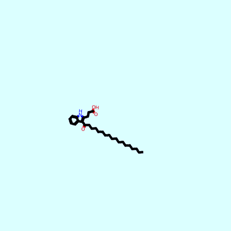 CCCCCCCCCCCCCCCCCC(=O)c1c(CCC(=O)O)[nH]c2ccccc12